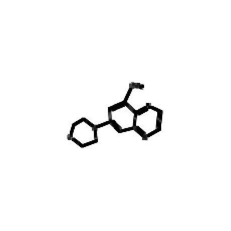 COc1cc(N2CCOCC2)cc2nccnc12